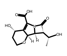 C[C@@H](O)[C@H]1C(=O)N2C(C(=O)O)=C3[C@@H](O)CCO[C@@H]3[C@H]12